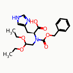 CCOC(CN(C(=O)OCc1ccccc1)[C@@H](Cc1c[nH]cn1)C(=O)O)OCC